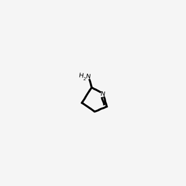 N[C]1CCC=N1